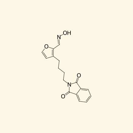 O=C1c2ccccc2C(=O)N1CCCCc1ccoc1/C=N/O